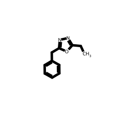 CCc1nnc(Cc2ccccc2)o1